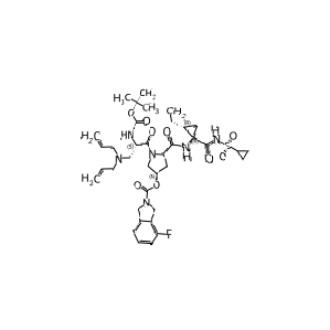 C=CCN(CC=C)C[C@H](NC(=O)OC(C)(C)C)C(=O)N1C[C@H](OC(=O)N2Cc3cccc(F)c3C2)CC1C(=O)N[C@]1(C(=O)NS(=O)(=O)C2CC2)C[C@H]1CC